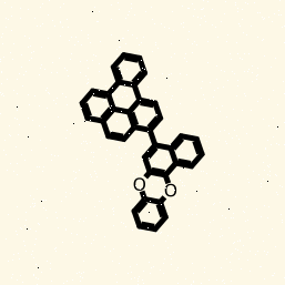 c1ccc2c(c1)Oc1cc(-c3ccc4c5ccccc5c5cccc6ccc3c4c65)c3ccccc3c1O2